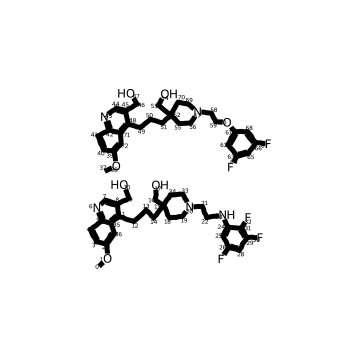 COc1ccc2ncc(CO)c(CCCC3(CO)CCN(CCNc4cc(F)cc(F)c4F)CC3)c2c1.COc1ccc2ncc(CO)c(CCCC3(CO)CCN(CCOc4cc(F)cc(F)c4)CC3)c2c1